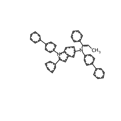 C/C=C(/c1ccccc1)N(c1ccc(-c2ccccc2)cc1)c1ccc2c(c1)cc(-c1ccccc1)n2-c1ccc(-c2ccccc2)cc1